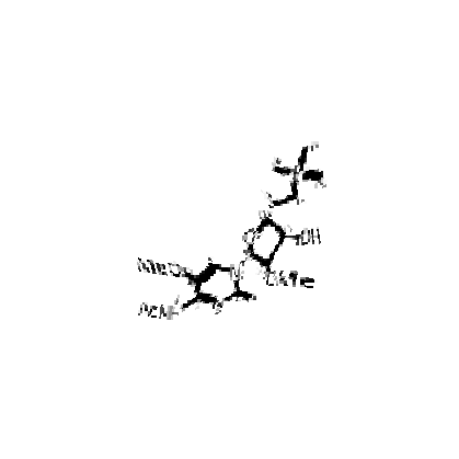 C=C1N=C(NC(C)=O)C(OC)=CN1[C@@H]1O[C@H](CCP(=C)(C)C)[C@@H](O)[C@H]1OC